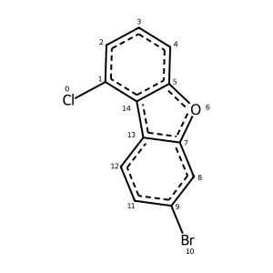 Clc1cccc2oc3cc(Br)ccc3c12